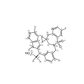 Cc1cnc2c(c1)S(=O)(=O)N(Cc1cc([C@H](c3cc4cc(C)nnc4n3C)C(C)(C)C(=O)O)ccc1C)CC1(CC1)O2